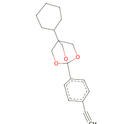 C#Cc1ccc(C23OCC(C4CCCCC4)(CO2)CO3)cc1